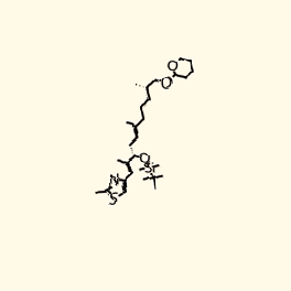 C/C(=C\C[C@H](O[Si](C)(C)C(C)(C)C)/C(C)=C/c1csc(C)n1)CCC[C@H](C)COC1CCCCO1